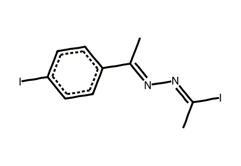 C/C(I)=N\N=C(/C)c1ccc(I)cc1